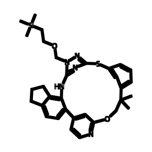 CC1(C)COc2cc(ccn2)-c2ccc3c(c2Nc2nc(nn2COCC[Si](C)(C)C)Sc2cccc1c2)CCC3